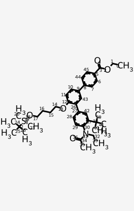 CCOC(=O)c1ccc(-c2ccc(OCCCCO[Si](C)(C)C(C)(C)C)c(-c3ccc(N(CC)C(C)=O)c(C(C)(C)C)c3)c2)cc1